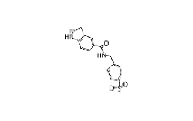 CS(=O)(=O)c1ccc(CNC(=O)c2ccc3[nH]ncc3c2)cc1